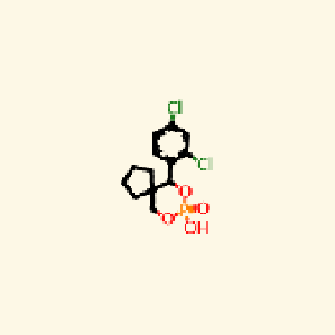 O=P1(O)OCC2(CCCC2)C(c2ccc(Cl)cc2Cl)O1